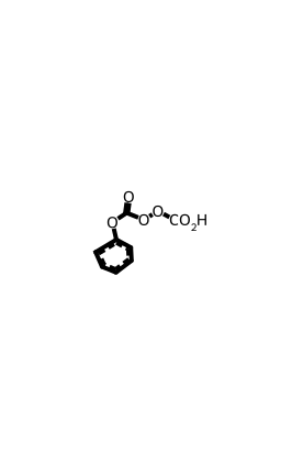 O=C(O)OOC(=O)Oc1ccccc1